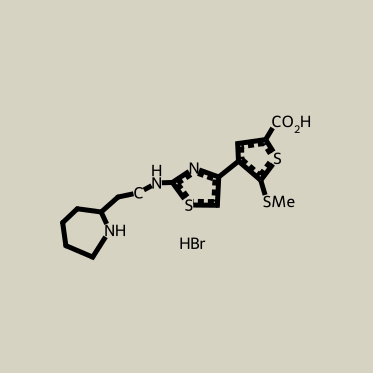 Br.CSc1sc(C(=O)O)cc1-c1csc(NCCC2CCCCN2)n1